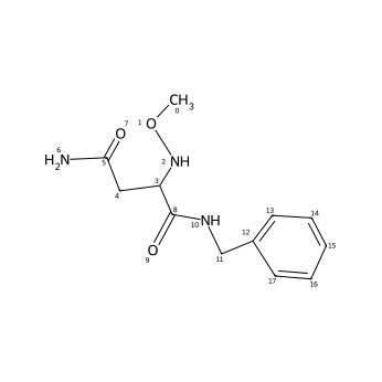 CONC(CC(N)=O)C(=O)NCc1ccccc1